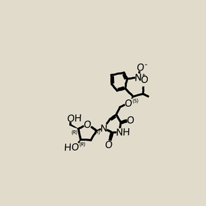 CC(C)[C@H](OCc1cn([C@H]2C[C@@H](O)[C@@H](CO)O2)c(=O)[nH]c1=O)c1ccccc1[N+](=O)[O-]